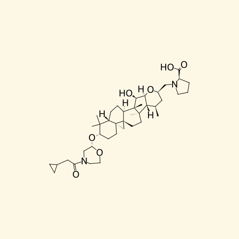 C[C@@H]1C[C@H](CN2CCC[C@@H]2C(=O)O)O[C@H]2[C@H]1[C@@]1(C)CC[C@@]34C[C@@]35CC[C@H](O[C@H]3CN(C(=O)CC6CC6)CCO3)C(C)(C)[C@@H]5CC[C@H]4[C@]1(C)[C@H]2O